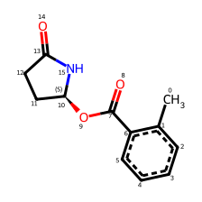 Cc1ccccc1C(=O)O[C@H]1CCC(=O)N1